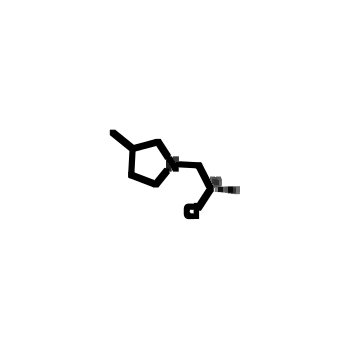 CC1CCN(C[C@H](C)Cl)C1